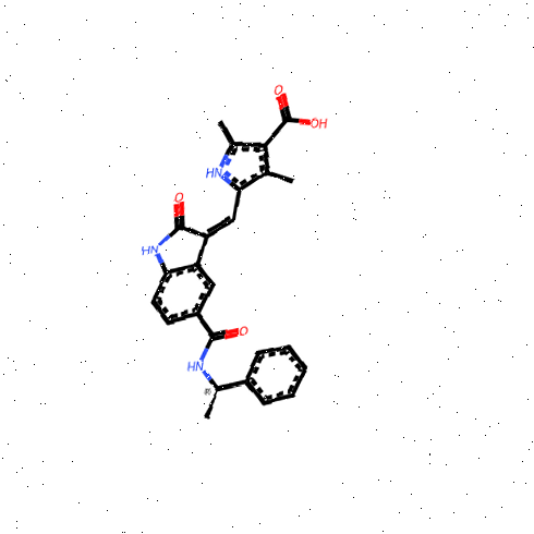 Cc1[nH]c(C=C2C(=O)Nc3ccc(C(=O)N[C@H](C)c4ccccc4)cc32)c(C)c1C(=O)O